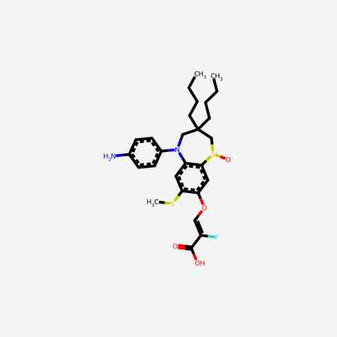 CCCCC1(CCCC)CN(c2ccc(N)cc2)c2cc(SC)c(O/C=C(\F)C(=O)O)cc2[S+]([O-])C1